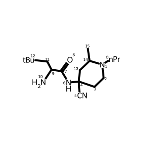 CCCN1CCC(C#N)(NC(=O)C(N)CC(C)(C)C)CC1C